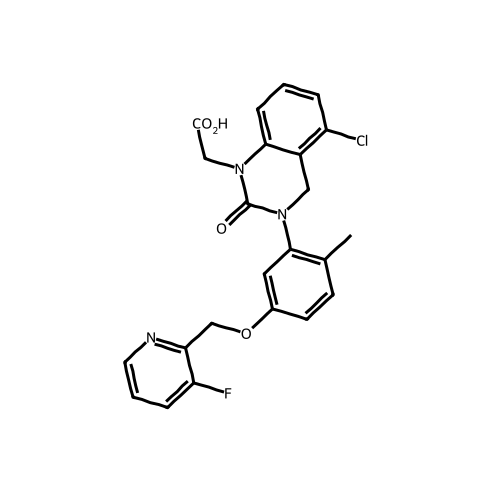 Cc1ccc(OCc2ncccc2F)cc1N1Cc2c(Cl)cccc2N(CC(=O)O)C1=O